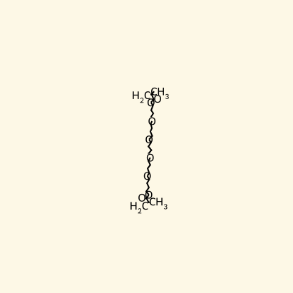 C=C(C)C(=O)OCCCCOCCCCOCCCCOCCCCOCCCCOC(=O)C(=C)C